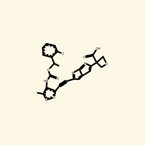 Cc1noc(C#CC2=NC3=NC(C4(C(=O)O)COC4)=CC3=C2)c1NC(=O)OC(C)c1ccccc1Cl